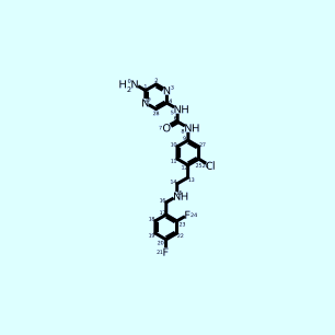 Nc1cnc(NC(=O)Nc2ccc(CCNCc3ccc(F)cc3F)c(Cl)c2)cn1